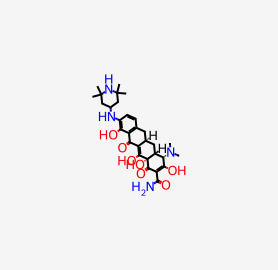 CN(C)[C@@H]1C(O)=C(C(N)=O)C(=O)[C@@]2(O)C(O)=C3C(=O)c4c(ccc(NC5CC(C)(C)NC(C)(C)C5)c4O)C[C@H]3C[C@H]12